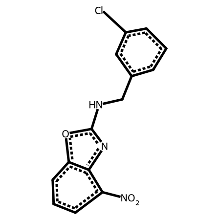 O=[N+]([O-])c1cccc2oc(NCc3cccc(Cl)c3)nc12